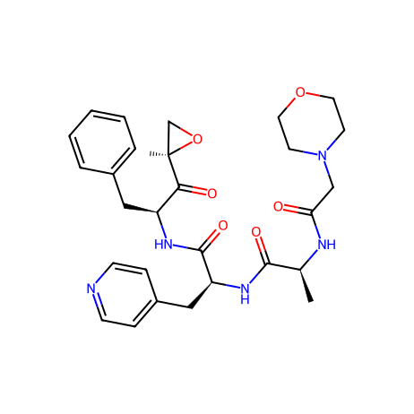 C[C@H](NC(=O)CN1CCOCC1)C(=O)N[C@@H](Cc1ccncc1)C(=O)N[C@@H](Cc1ccccc1)C(=O)[C@@]1(C)CO1